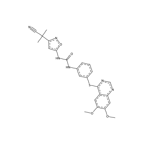 COc1cc2ncnc(Sc3cccc(NC(=O)Nc4cc(C(C)(C)C#N)no4)c3)c2cc1OC